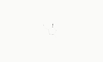 CCOC(=O)OC1CN(C)CC1=O